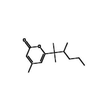 CCCC(C)C(C)(C)c1cc(C)cc(=O)o1